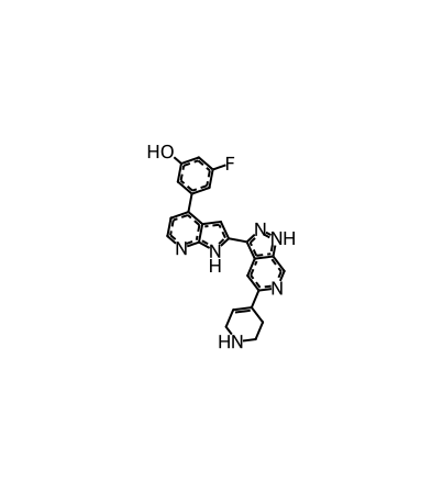 Oc1cc(F)cc(-c2ccnc3[nH]c(-c4n[nH]c5cnc(C6=CCNCC6)cc45)cc23)c1